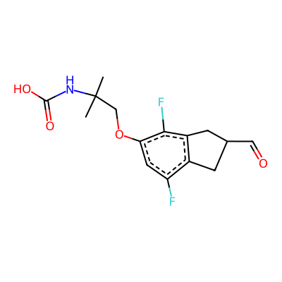 CC(C)(COc1cc(F)c2c(c1F)CC(C=O)C2)NC(=O)O